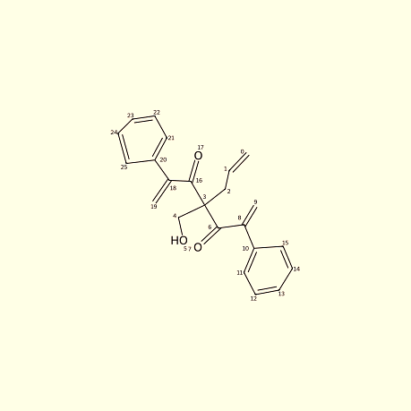 C=CCC(CO)(C(=O)C(=C)c1ccccc1)C(=O)C(=C)c1ccccc1